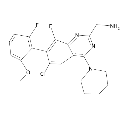 COc1cccc(F)c1-c1c(Cl)cc2c(N3CCCCC3)nc(CN)nc2c1F